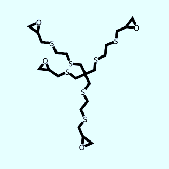 C(CSCC(CSCCSCC1CO1)(CSCCSCC1CO1)CSCC1CO1)SCC1CO1